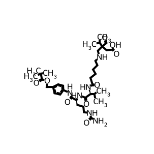 CC(C)[C@H](NC(=O)CCCCCNCC(C=O)(CC(=O)O)C(C)C)C(=O)N[C@@H](CCCNC(N)=O)C(=O)Nc1ccc(COC(=O)C(C)(C)C)cc1